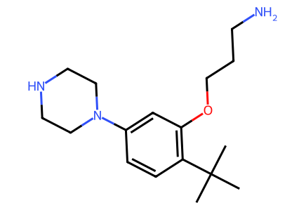 CC(C)(C)c1ccc(N2CCNCC2)cc1OCCCN